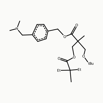 CCC(C)(CC)C(=O)OCC(C)(COC(C)(C)C)C(=O)OCc1ccc(CN(C)C)cc1